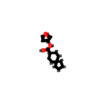 O=C(Oc1ccoc1)C1CCC2(CCCC2)CC1